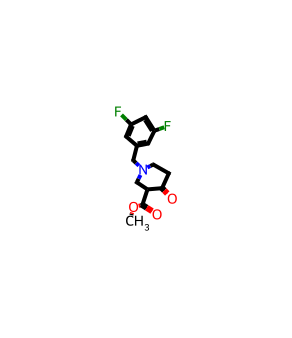 COC(=O)C1CN(Cc2cc(F)cc(F)c2)CCC1=O